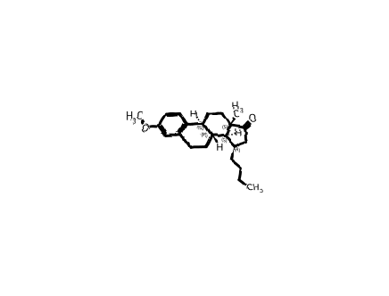 CCCC[C@@H]1CC(=O)[C@@]2(C)CC[C@@H]3c4ccc(OC)cc4CC[C@H]3[C@H]12